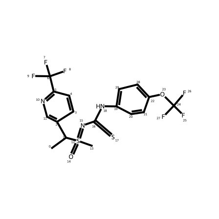 CC(c1ccc(C(F)(F)F)nc1)S(C)(=O)=NC(=S)Nc1ccc(OC(F)(F)F)cc1